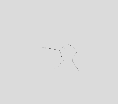 CC1=C(C=O)N(Cl)C(C)O1